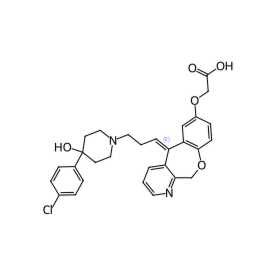 O=C(O)COc1ccc2c(c1)/C(=C/CCN1CCC(O)(c3ccc(Cl)cc3)CC1)c1cccnc1CO2